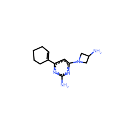 Nc1nc(C2=CCCCC2)cc(N2CC(N)C2)n1